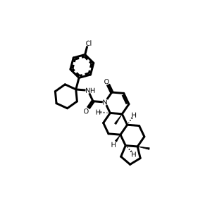 C[C@@]12CCC[C@H]1[C@@H]1CC[C@H]3N(C(=O)NC4(c5ccc(Cl)cc5)CCCCC4)C(=O)C=C[C@]3(C)[C@H]1CC2